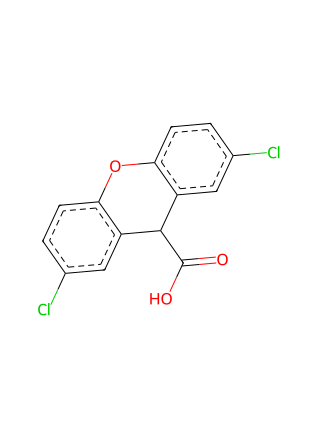 O=C(O)C1c2cc(Cl)ccc2Oc2ccc(Cl)cc21